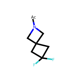 CC(=O)N1CC2(C1)CC(F)(F)C2